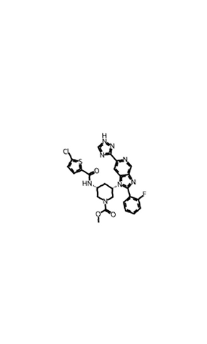 COC(=O)N1C[C@H](NC(=O)c2ccc(Cl)s2)C[C@H](n2c(-c3ccccc3F)nc3cnc(-c4nc[nH]n4)cc32)C1